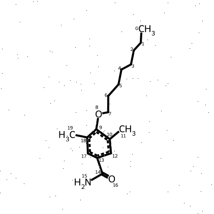 CCCCCCCCOc1c(C)cc(C(N)=O)cc1C